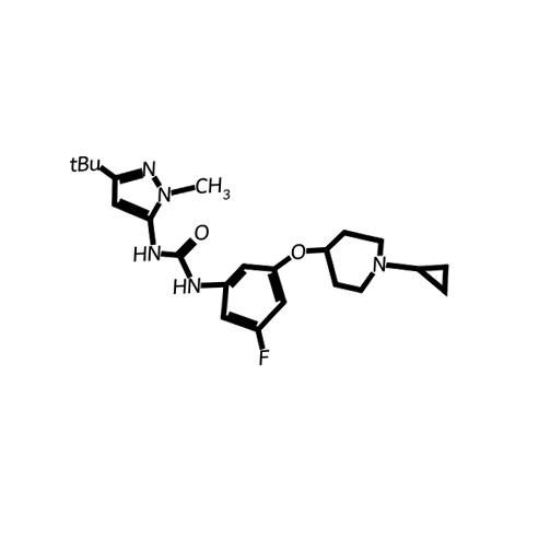 Cn1nc(C(C)(C)C)cc1NC(=O)Nc1cc(F)cc(OC2CCN(C3CC3)CC2)c1